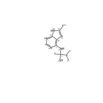 CC(C)C(C)(S)Nc1ncnc2[nH]c(F)nc12